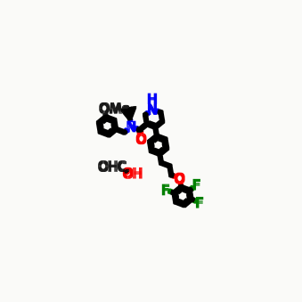 COc1cccc(CN(C(=O)C2=C(c3ccc(CCCOc4c(F)ccc(F)c4F)cc3)CCNC2)C2CC2)c1.O=CO